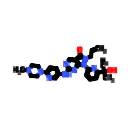 C=CCn1c(=O)c2cnc(Nc3ccc(N4CCN(C)CC4)nc3)nc2n1-c1cccc(C(C)(C)O)n1